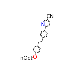 CCCCCCCCOc1ccc(CCc2ccc(-c3ccc(C#N)cn3)cc2)cc1